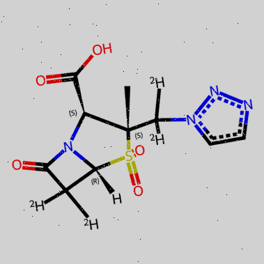 [2H]C1([2H])C(=O)N2[C@@H](C(=O)O)[C@](C)(C([2H])([2H])n3ccnn3)S(=O)(=O)[C@@H]21